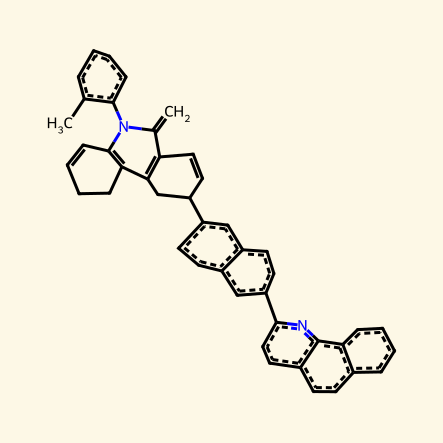 C=C1C2=C(CC(c3ccc4cc(-c5ccc6ccc7ccccc7c6n5)ccc4c3)C=C2)C2=C(C=CCC2)N1c1ccccc1C